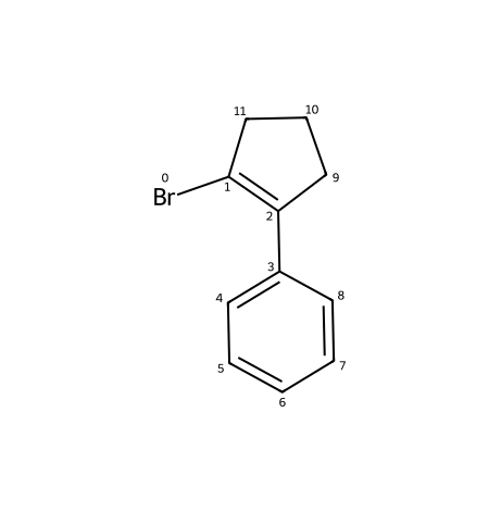 BrC1=C(c2ccccc2)CCC1